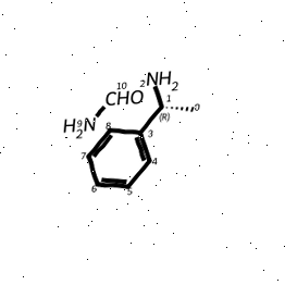 C[C@@H](N)c1ccccc1.NC=O